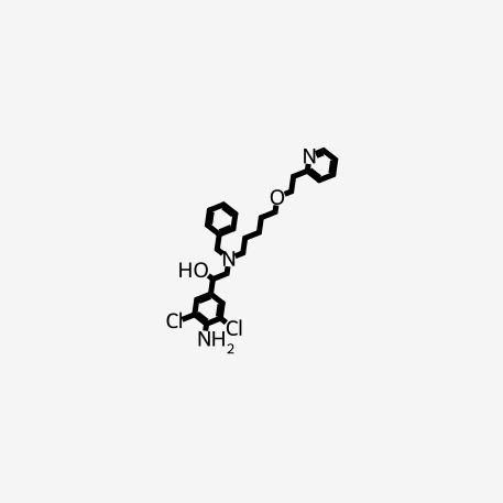 Nc1c(Cl)cc(C(O)CN(CCCCCOCCc2ccccn2)Cc2ccccc2)cc1Cl